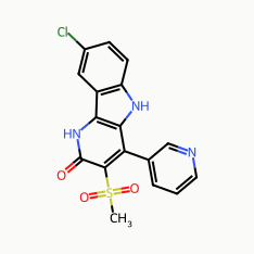 CS(=O)(=O)c1c(-c2cccnc2)c2[nH]c3ccc(Cl)cc3c2[nH]c1=O